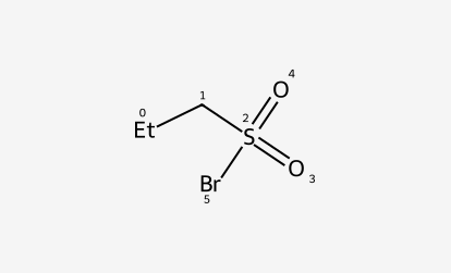 CCCS(=O)(=O)Br